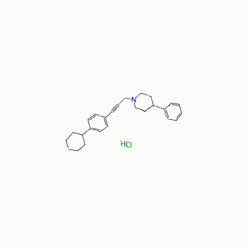 C(#Cc1ccc(C2CCCCC2)cc1)CN1CCC(c2ccccc2)CC1.Cl